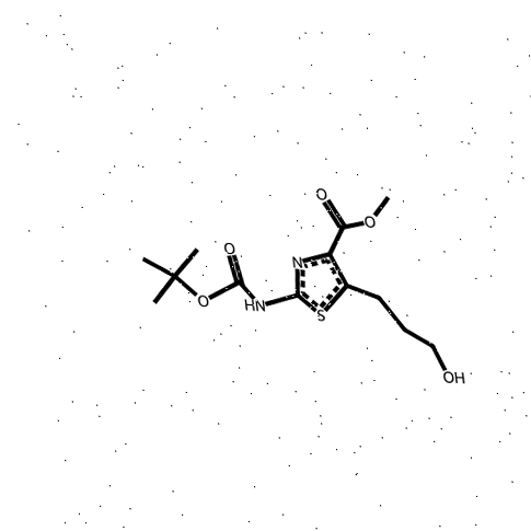 COC(=O)c1nc(NC(=O)OC(C)(C)C)sc1CCCO